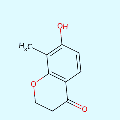 Cc1c(O)ccc2c1OCCC2=O